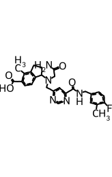 Cc1cc(CNC(=O)c2cc(CN(CC(N)=O)C3CCc4c3ccc(C(=O)O)c4C)ncn2)ccc1F